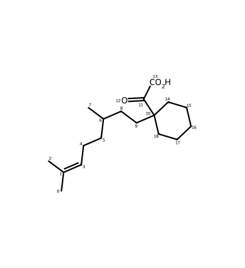 CC(C)=CCCC(C)CCC1(C(=O)C(=O)O)CCCCC1